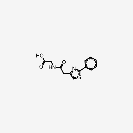 O=C(O)CNC(=O)Cc1csc(-c2ccccc2)n1